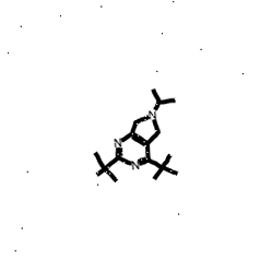 CC(C)N1Cc2nc(C(C)(C)C)nc(C(C)(C)C)c2C1